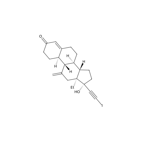 C=C1C[C@@]2(CC)[C@@H](CC[C@@]2(O)C#CI)[C@@H]2CCC3=CC(=O)CC[C@@H]3[C@@H]12